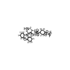 O=S(=O)(N=CC1CNC[C@H](N2c3ccccc3Oc3ccccc32)[C@H]1O)c1ccc(OC(F)(F)F)cc1